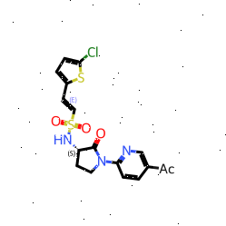 CC(=O)c1ccc(N2CC[C@H](NS(=O)(=O)/C=C/c3ccc(Cl)s3)C2=O)nc1